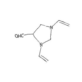 C=CN1CC(C=O)N(C=C)C1